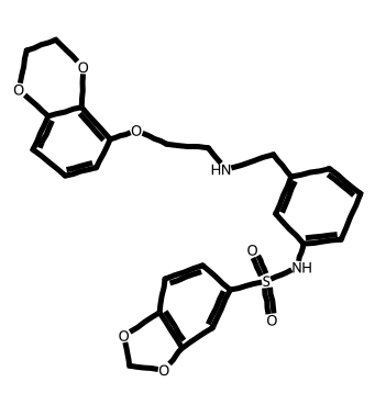 O=S(=O)(Nc1cccc(CNCCOc2cccc3c2OCCO3)c1)c1ccc2c(c1)OCO2